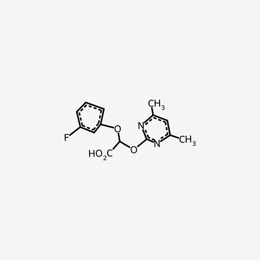 Cc1cc(C)nc(OC(Oc2cccc(F)c2)C(=O)O)n1